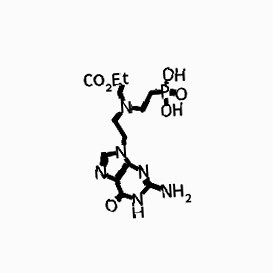 CCOC(=O)CN(CCn1cnc2c(=O)[nH]c(N)nc21)CCP(=O)(O)O